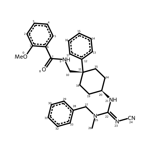 COc1ccccc1C(=O)NC[C@]1(c2ccccc2)CC[C@H](N/C(=N\C#N)N(C)Cc2ccccc2)CC1